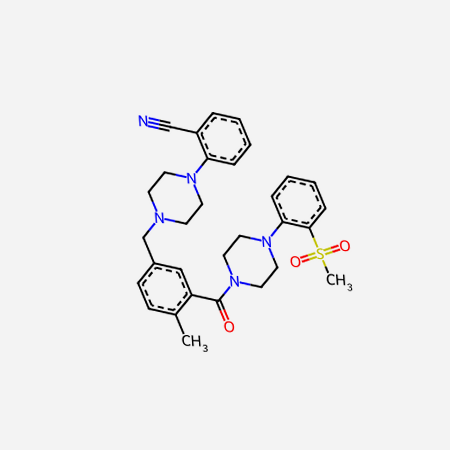 Cc1ccc(CN2CCN(c3ccccc3C#N)CC2)cc1C(=O)N1CCN(c2ccccc2S(C)(=O)=O)CC1